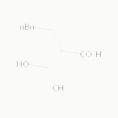 CCCCCC(C(=O)O)C(C)O